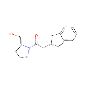 O=C(CC1Cc2ccccc2C1)N1CCC[C@H]1CO